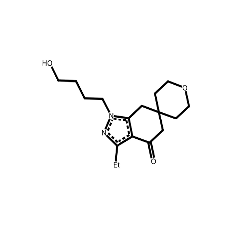 CCc1nn(CCCCO)c2c1C(=O)CC1(CCOCC1)C2